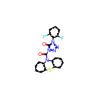 O=C(N1c2ccccc2Sc2ccccc21)n1nnn(-c2c(F)cccc2F)c1=O